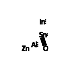 [Al].[In].[O]=[Sn].[Zn]